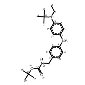 CCN(c1ccc(Nc2ccc(CNC(=O)OC(C)(C)C)cc2)cc1)C(C)(C)C